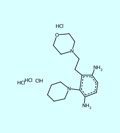 Cl.Cl.Cl.Cl.Nc1ccc(N)c(N2CCCCC2)c1CCN1CCOCC1